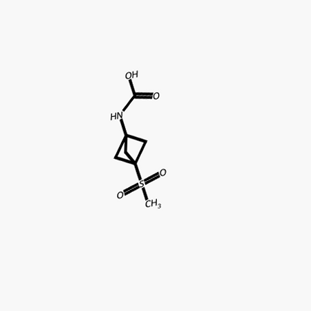 CS(=O)(=O)C12CC(NC(=O)O)(C1)C2